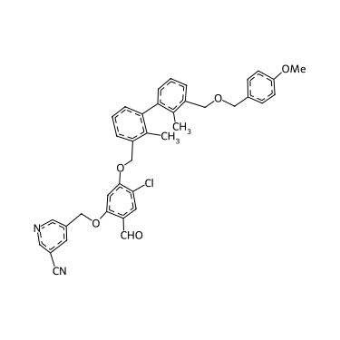 COc1ccc(COCc2cccc(-c3cccc(COc4cc(OCc5cncc(C#N)c5)c(C=O)cc4Cl)c3C)c2C)cc1